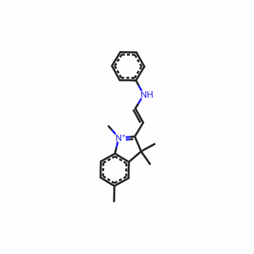 Cc1ccc2c(c1)C(C)(C)C(/C=C/Nc1ccccc1)=[N+]2C